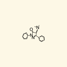 CN(C)C=C1C(=O)N(c2ccccc2)N=C1c1ccccc1